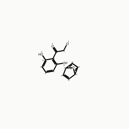 O=C(CCl)c1c(O)cccc1O.c1cc2ccc1o2